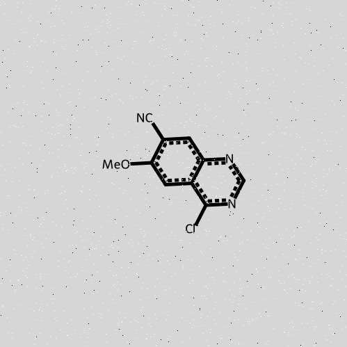 COc1cc2c(Cl)ncnc2cc1C#N